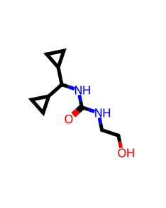 O=C(NCCO)NC(C1CC1)C1CC1